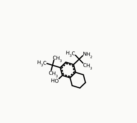 CC(C)(C)c1cc(C(C)(C)N)c2c(c1O)CCCC2